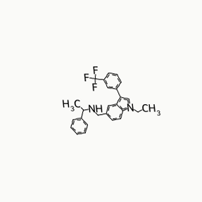 CCn1cc(-c2cccc(C(F)(F)F)c2)c2cc(CNC(C)c3ccccc3)ccc21